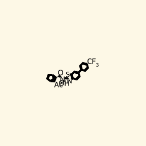 CC(=O)[C@H]1C2C=CC(C2)[C@H]1C(=O)N(O)c1nc2ccc(-c3ccc(C(F)(F)F)cc3)cc2s1